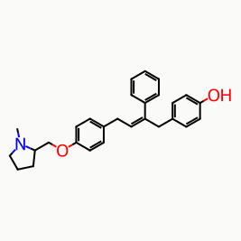 CN1CCCC1COc1ccc(CC=C(Cc2ccc(O)cc2)c2ccccc2)cc1